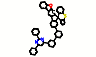 c1ccc(-c2cc(-c3cccc(-c4cccc(-c5ccc6c(c5)C5(c7ccccc7Sc7ccccc75)c5cc7oc8ccccc8c7cc5-6)c4)c3)nc(-c3ccccc3)n2)cc1